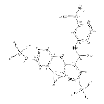 Cc1c(C(F)(F)F)ccc(Oc2ccc(OC(F)(F)F)cc2C2CC2)c1C(=O)Nc1ccnc(C(N)=O)c1